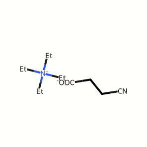 CC[N+](CC)(CC)CC.N#CCCC(=O)[O-]